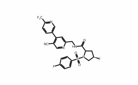 N#Cc1cnc(CNC(=O)C2C[C@@H](F)CN2S(=O)(=O)c2ccc(F)cc2)cc1-c1ccc(C(F)(F)F)nc1